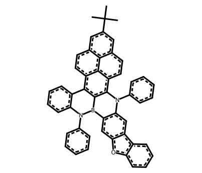 CC(C)(C)c1cc2ccc3c4c5c(c6ccc(c1)c2c36)N(c1ccccc1)c1cc2c(cc1B5N(c1ccccc1)c1ccccc1-4)oc1ccccc12